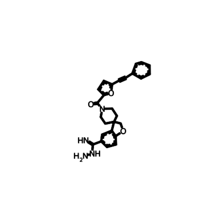 N=C(NN)c1ccc2c(c1)C1(CCN(C(=O)c3ccc(C#Cc4ccccc4)o3)CC1)CO2